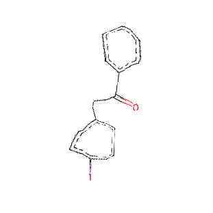 O=C(Cc1ccc(I)cc1)c1ccccc1